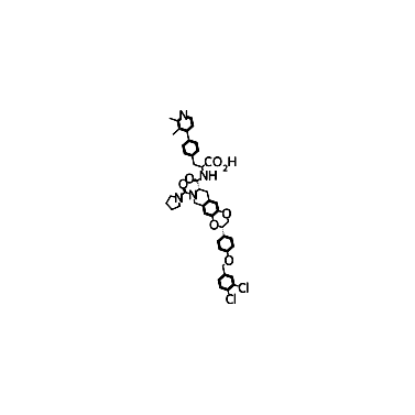 Cc1nccc(-c2ccc(CC(NC(=O)[C@@H]3Cc4cc5c(cc4CN3C(=O)N3CCCC3)O[C@@H](c3ccc(OCc4ccc(Cl)c(Cl)c4)cc3)CO5)C(=O)O)cc2)c1C